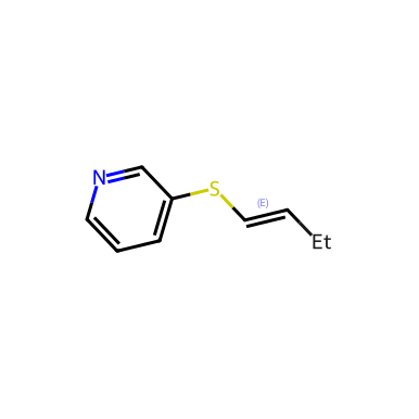 [CH2]C/C=C/Sc1cccnc1